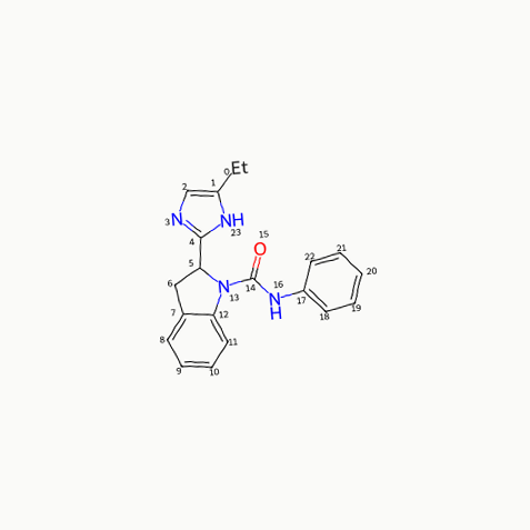 CCc1cnc(C2Cc3ccccc3N2C(=O)Nc2ccccc2)[nH]1